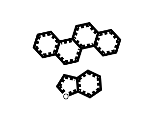 c1ccc2c(c1)ccc1c3ccccc3ccc21.c1ccc2occc2c1